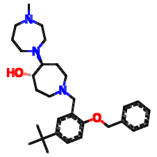 CN1CCCN([C@H]2CCN(Cc3cc(C(C)(C)C)ccc3OCc3ccccc3)CC[C@@H]2O)CC1